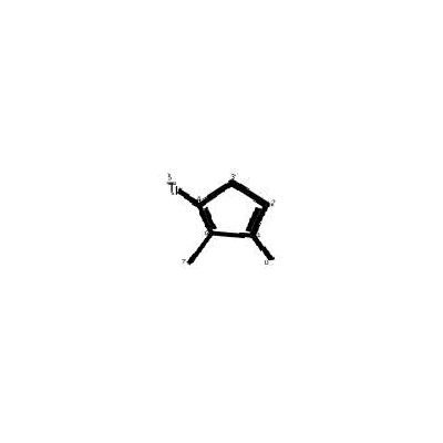 CC1=CC[C]([Ti])=C1C